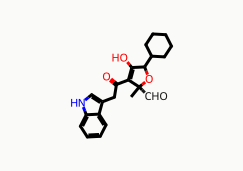 CC1(C=O)OC(C2CCCCC2)C(O)=C1C(=O)Cc1c[nH]c2ccccc12